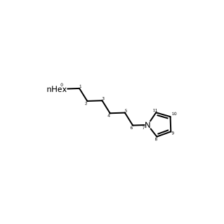 CCCCCCCCCCCCn1cccc1